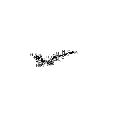 CC(C)C=CC(=O)SCCNC(=O)CCNC(=O)[C@H](O)C(C)(C)COP(=O)(O)OP(=O)(O)OC[C@H]1O[C@@H](n2cnc3c(N)ncnc32)[C@H](O)[C@@H]1OP(=O)(O)O